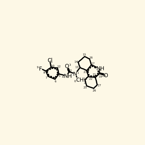 CN(C(=O)Nc1ccc(F)c(Cl)c1)C1CCCc2[nH]c(=O)c3c(c21)CCCC3